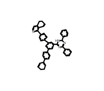 C1=CC(c2ccc(-c3cc(C4=NC(c5ccccc5)=NC(c5ccccc5)N4)cc(-c4ccc(-c5nccc6c5C=CCC6)cc4)c3)cc2)=CCC1